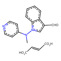 CN(c1ccncc1)n1cc(C=O)c2ccccc21.O=C(O)C=CC(=O)O